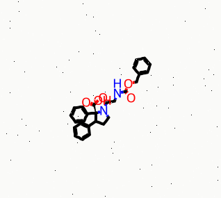 O=C(NCC(=O)N1CCC(c2ccccc2)[C@]1(C(=O)O)c1ccccc1)OCc1ccccc1